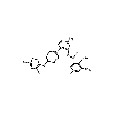 COc1c(C)cc(Cl)cc1C(=O)Nc1cc(C#N)ccc1N1CCC(Oc2ccc(F)cc2F)CC1